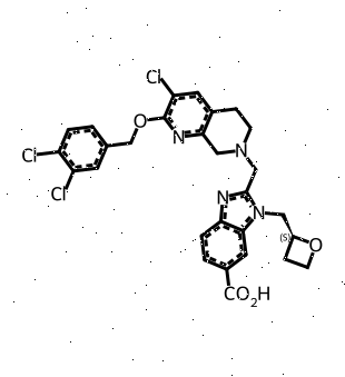 O=C(O)c1ccc2nc(CN3CCc4cc(Cl)c(OCc5ccc(Cl)c(Cl)c5)nc4C3)n(C[C@@H]3CCO3)c2c1